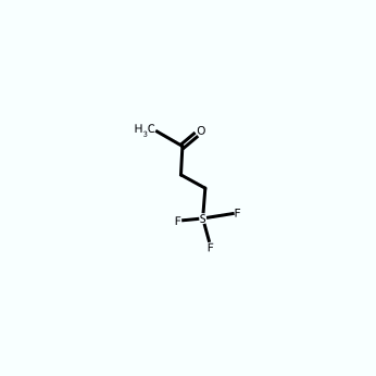 CC(=O)CCS(F)(F)F